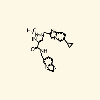 CN1NC(C(=O)NCc2ccc3nccn3c2)=CN1Cc1cn2cc(C3CC3)ccc2n1